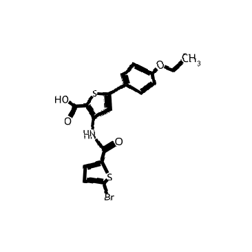 CCOc1ccc(-c2cc(NC(=O)c3ccc(Br)s3)c(C(=O)O)s2)cc1